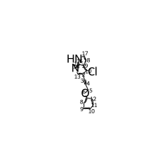 Clc1c(C#CCOc2ccccc2)cnc2[nH]ccc12